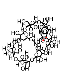 CC1(CCN2CC3O[C@@H]4O[C@@H]5C(CO)O[C@H](O[C@@H]6C(CO)O[C@H](OCC7(O)CC(CN2)O[C@H](O[C@@H]2C(CO)O[C@H](O[C@@H]8C(CO)O[C@H](O[C@@H]9C(CO)O[C@@H](O[C@H]3C(O)C4O)C(O)C9O)C(O)C8O)C(O)C2O)C7O)C(O)C6O)C(O)C5O)CC2CCCC(C2)C1